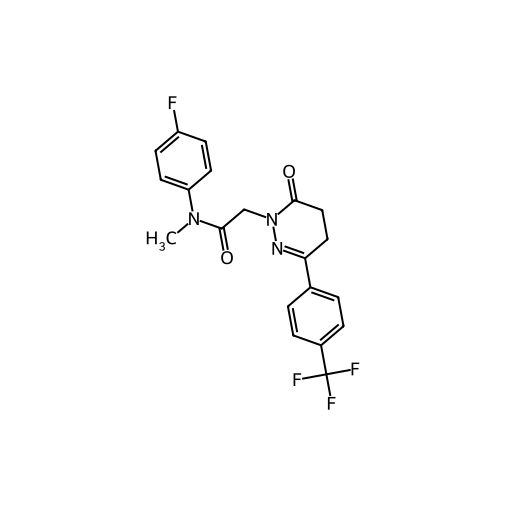 CN(C(=O)CN1N=C(c2ccc(C(F)(F)F)cc2)CCC1=O)c1ccc(F)cc1